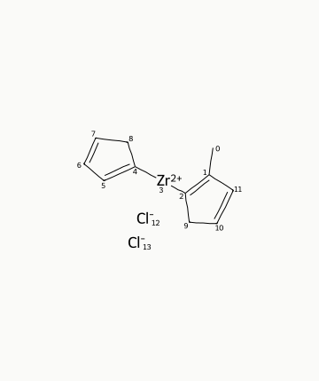 CC1=[C]([Zr+2][C]2=CC=CC2)CC=C1.[Cl-].[Cl-]